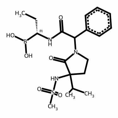 CC[C@H](NC(=O)C(c1ccccc1)N1CCC(NS(C)(=O)=O)(C(C)C)C1=O)B(O)O